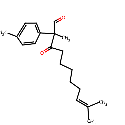 CC(C)=CCCCCCC(=O)C(C)(C=O)c1ccc(C)cc1